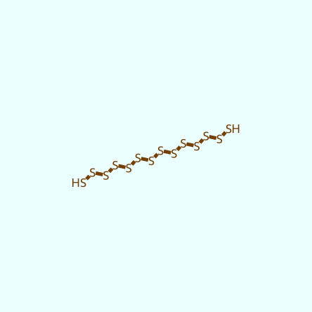 SSSSSSSSSSSSSS